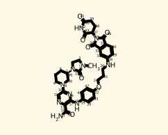 CN1CCN([C@@H]2CCCN(c3cnc(C(N)=O)c(Nc4ccc(OCCCNc5ccc6c(c5)C(=O)N(C5CCC(=O)NC5=O)C6=O)cc4)n3)C2)C1=O